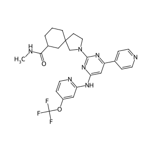 CNC(=O)C1CCCC2(CCN(c3nc(Nc4cc(OC(F)(F)F)ccn4)cc(-c4ccncc4)n3)C2)C1